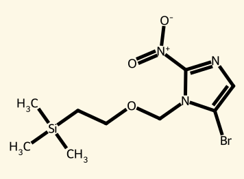 C[Si](C)(C)CCOCn1c(Br)cnc1[N+](=O)[O-]